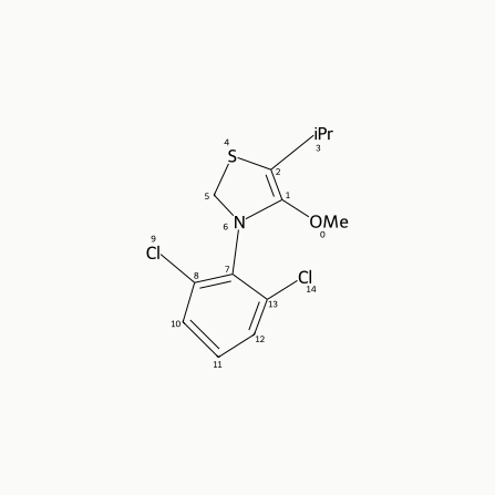 COC1=C(C(C)C)SCN1c1c(Cl)cccc1Cl